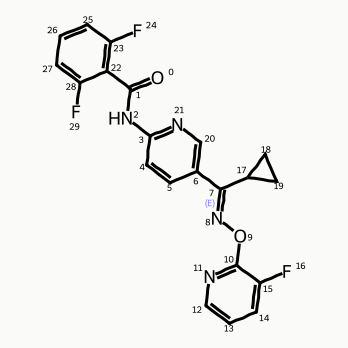 O=C(Nc1ccc(/C(=N/Oc2ncccc2F)C2CC2)cn1)c1c(F)cccc1F